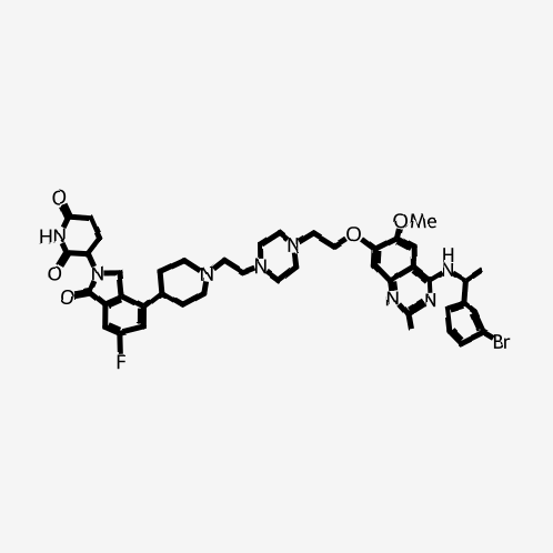 COc1cc2c(NC(C)c3cccc(Br)c3)nc(C)nc2cc1OCCN1CCN(CCN2CCC(c3cc(F)cc4c3CN(C3CCC(=O)NC3=O)C4=O)CC2)CC1